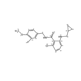 COc1ccc(CNC(=O)c2c(Cl)cccc2NCC2CC2)cc1F